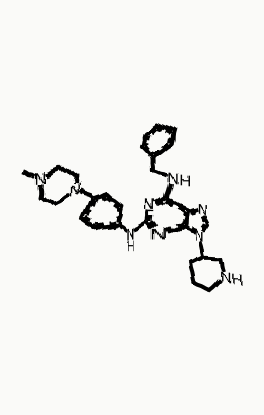 CN1CCN(c2ccc(Nc3nc(NCc4ccccc4)c4ncn(C5CCCNC5)c4n3)cc2)CC1